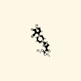 CN(C)C(=O)c1csc(N2CCCN(c3cc[nH]c(=S)c3C#N)CC2)n1